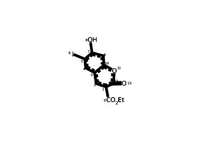 CCOC(=O)c1cc2cc(I)c(O)cc2oc1=O